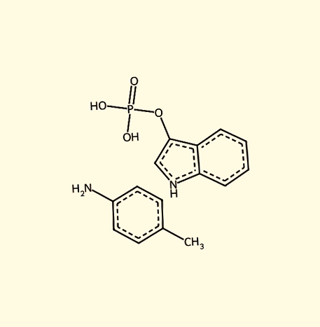 Cc1ccc(N)cc1.O=P(O)(O)Oc1c[nH]c2ccccc12